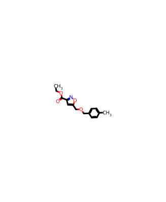 CCOC(=O)c1cc(COCc2ccc(C)cc2)on1